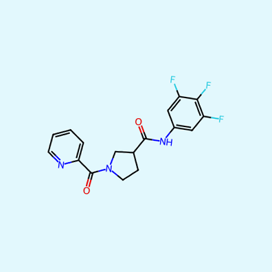 O=C(Nc1cc(F)c(F)c(F)c1)C1CCN(C(=O)c2ccccn2)C1